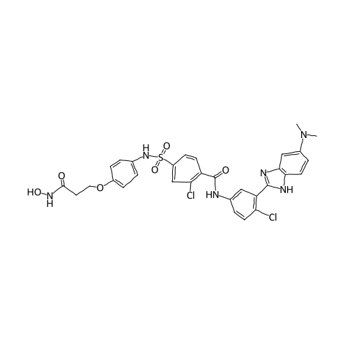 CN(C)c1ccc2[nH]c(-c3cc(NC(=O)c4ccc(S(=O)(=O)Nc5ccc(OCCC(=O)NO)cc5)cc4Cl)ccc3Cl)nc2c1